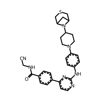 N#CCNC(=O)c1ccc(-c2ccnc(Nc3ccc(N4CCC(N5C6CSCC5C6)CC4)cc3)n2)cc1